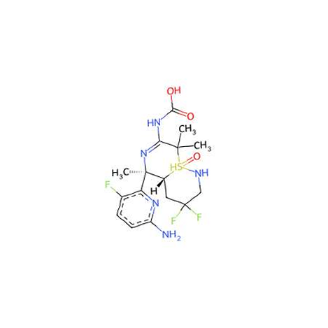 CC1(C)C(NC(=O)O)=N[C@](C)(c2nc(N)ccc2F)[C@H]2CC(F)(F)CN[SH]21=O